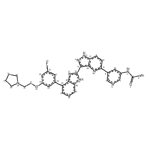 CCCC(=O)Nc1cncc(-c2ccc3[nH]nc(-c4nc5c(-c6cc(F)cc(OCCN7CCCC7)c6)cccc5[nH]4)c3n2)c1